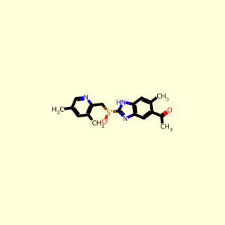 CC(=O)c1cc2nc([S+]([O-])Cc3ncc(C)cc3C)[nH]c2cc1C